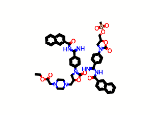 CCOC(=O)CN1CCN(CC2CN(c3ccc(C(=N)NC(=O)c4ccc5ccccc5c4)cc3)C(=O)O2)CC1.CS(=O)(=O)OCC1CN(c2ccc(C(=N)NC(=O)c3ccc4ccccc4c3)cc2)C(=O)O1